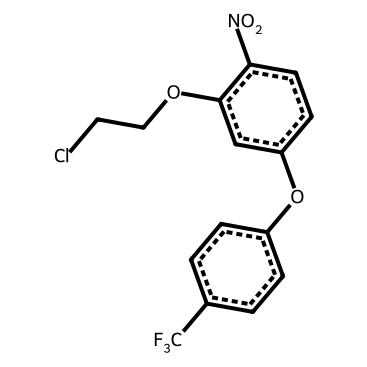 O=[N+]([O-])c1ccc(Oc2ccc(C(F)(F)F)cc2)cc1OCCCl